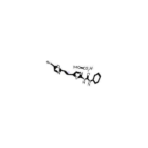 CC(C)(C)c1cnc(/C=C/c2cnc(NC(=O)NC3CCCCC3)s2)o1.O=C(O)O